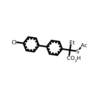 CCC(SC(C)=O)(C(=O)O)c1ccc(-c2ccc(Cl)cc2)cc1